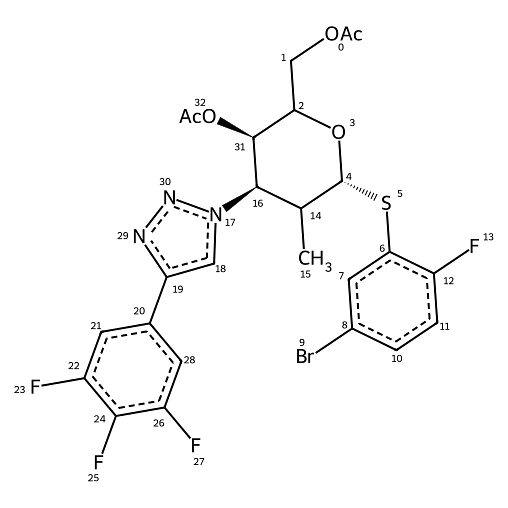 CC(=O)OCC1O[C@H](Sc2cc(Br)ccc2F)C(C)[C@@H](n2cc(-c3cc(F)c(F)c(F)c3)nn2)[C@H]1OC(C)=O